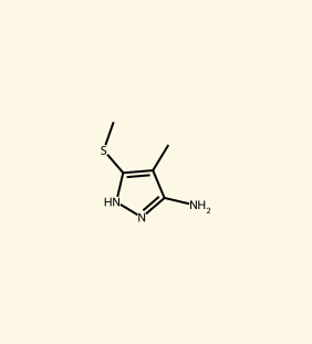 CSc1[nH]nc(N)c1C